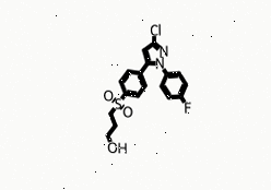 O=S(=O)(CCCO)c1ccc(-c2cc(Cl)nn2-c2ccc(F)cc2)cc1